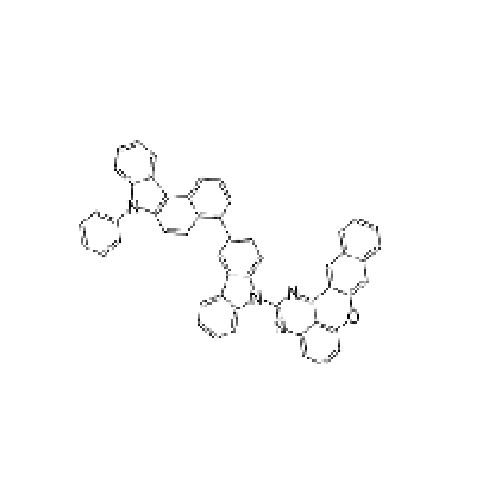 c1ccc(-n2c3ccccc3c3c4cccc(-c5ccc6c(c5)c5ccccc5n6-c5nc6c7c(cccc7n5)Oc5cc7ccccc7cc5-6)c4ccc32)cc1